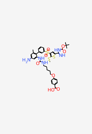 CSc1sc(C(=N)NC(=O)OC(C)(C)C)cc1S(=O)(=O)c1cccc(-c2c(C)cc(N)cc2NC(=O)NCCCCCOc2ccc(C(=O)O)cc2)c1